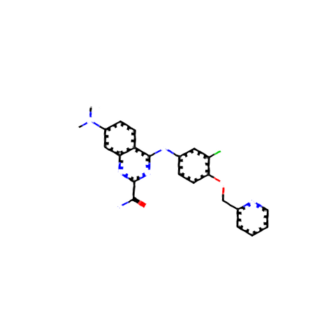 CN(C)c1[c]cc2c(Nc3ccc(OCc4ccccn4)c(Cl)c3)nc(C(N)=O)nc2c1